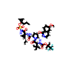 CCCC1(OS(=O)(=O)NC(=O)[C@@]2(NC(=O)[C@@H]3C[C@@H](Oc4nccc5cc(OC)ccc45)CN3C(=O)[C@@H](NC(=O)OC(C)(C)C(F)(F)F)C(C)(C)C)C[C@H]2CC)CC1